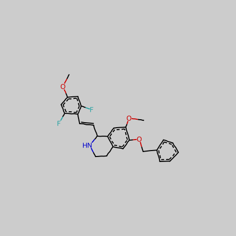 COc1cc(F)c(/C=C/C2NCCc3cc(OCc4ccccc4)c(OC)cc32)c(F)c1